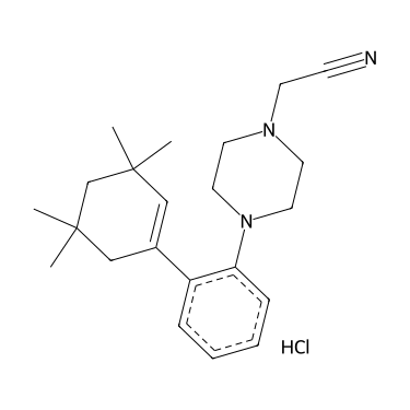 CC1(C)C=C(c2ccccc2N2CCN(CC#N)CC2)CC(C)(C)C1.Cl